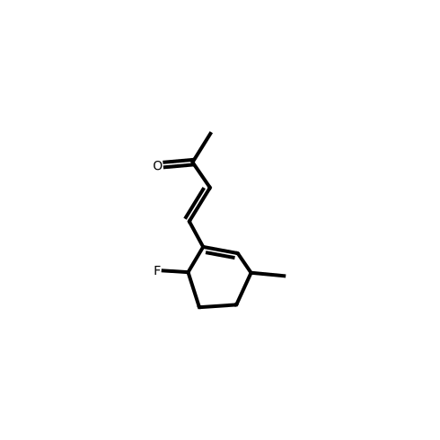 CC(=O)C=CC1=CC(C)CCC1F